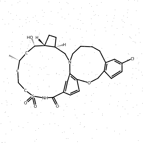 C[C@H]1CCCS(=O)(=O)NC(=O)c2ccc3c(c2)N(CCCCc2cc(Cl)ccc2CO3)C[C@@H]2CC[C@H]2[C@@H](O)C1